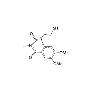 COc1cc2c(=O)n(C)c(=O)n(CCS)c2cc1OC